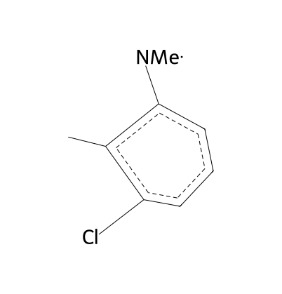 C[N]c1cccc(Cl)c1C